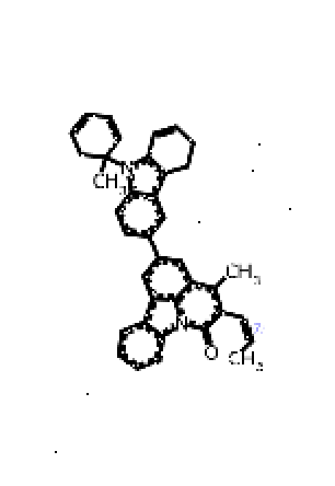 C/C=C\c1c(C)c2cc(-c3ccc4c(c3)c3c(n4C4(C)C=CC=CC4)C=CCC3)cc3c4ccccc4n(c1=O)c23